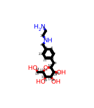 NCCNCc1ccc(CC2OC(CO)C(O)C(O)C2O)cc1